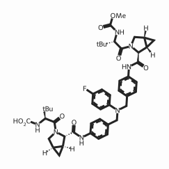 COC(=O)N[C@H](C(=O)N1C[C@@H]2C[C@@H]2[C@H]1C(=O)Nc1ccc(CN(Cc2ccc(NC(=O)[C@@H]3[C@H]4C[C@H]4CN3C(=O)[C@@H](NC(=O)O)C(C)(C)C)cc2)c2ccc(F)cc2)cc1)C(C)(C)C